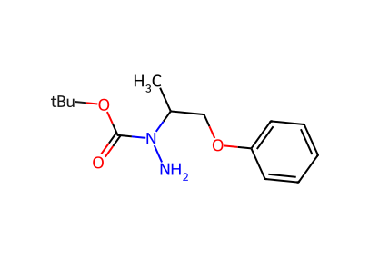 CC(COc1ccccc1)N(N)C(=O)OC(C)(C)C